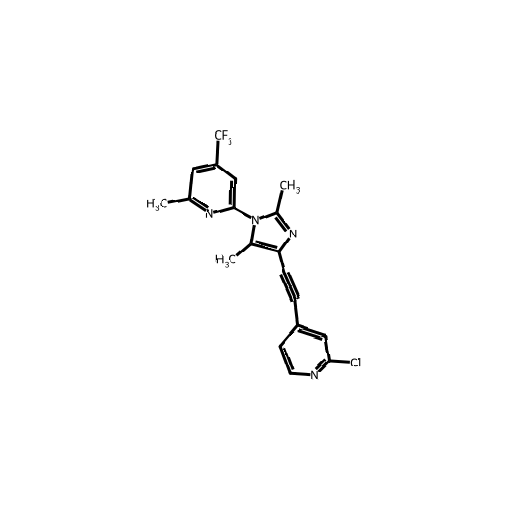 Cc1cc(C(F)(F)F)cc(-n2c(C)nc(C#Cc3ccnc(Cl)c3)c2C)n1